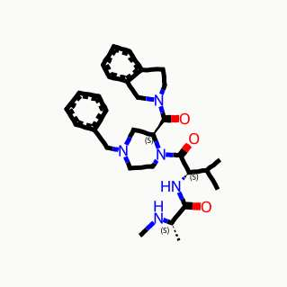 CN[C@@H](C)C(=O)N[C@H](C(=O)N1CCN(Cc2ccccc2)C[C@H]1C(=O)N1CCc2ccccc2C1)C(C)C